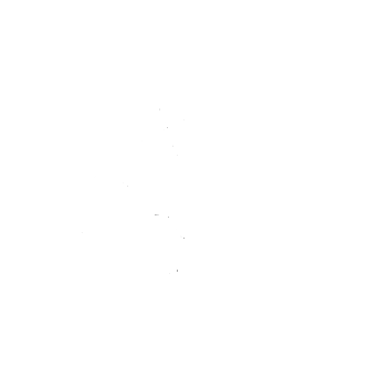 CC(C)(C)OC(=O)N1COC(=O)[C@H]1CCC(=O)OCc1ccccc1